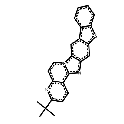 CC(C)(C)c1ccc2c(ccn3c4cc5c(cc4nc23)sc2ccccc25)n1